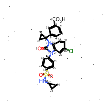 O=C(O)c1cccc(C2(n3c(=O)n(-c4ccc(S(=O)(=O)NC5CC5)cc4)c4cc(Cl)ccc43)CC2)c1